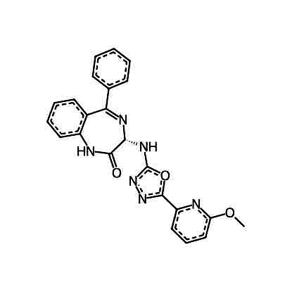 COc1cccc(-c2nnc(N[C@H]3N=C(c4ccccc4)c4ccccc4NC3=O)o2)n1